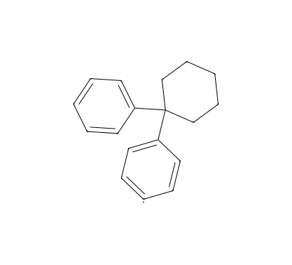 [c]1ccc(C2(c3ccccc3)CCCCC2)cc1